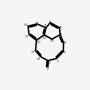 C=C1/C=C\C=C2\C=Cc3cccc(c3C2)/C=C\1